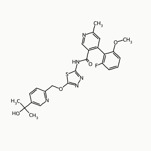 COc1cccc(F)c1-c1cc(C)ncc1C(=O)Nc1nnc(OCc2ccc(C(C)(C)O)cn2)s1